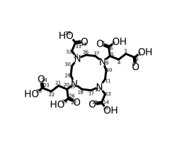 O=C(O)CCC(C(=O)O)N1CCN(CC(=O)O)CCN(C(CCC(=O)O)C(=O)O)CCN(CC(=O)O)CC1